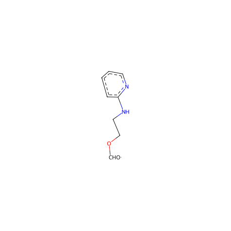 O=[C]OCCNc1ccccn1